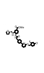 COC(=O)c1ccc(NC(=O)Cc2ccc(-c3cccc(OCc4ccc(Cl)cc4F)n3)cc2)c(NC[C@H]2CCCO2)c1